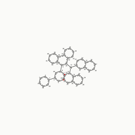 c1ccc(-c2cccc(-c3c(N(c4ccc5ccccc5c4)c4cccc5ccccc45)c4ccccc4c4ccccc34)c2)cc1